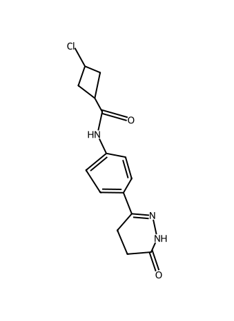 O=C1CCC(c2ccc(NC(=O)C3CC(Cl)C3)cc2)=NN1